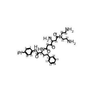 CC(C)c1ccc(NC(=O)C(CCc2ccccc2)NC(=O)CC(=O)[C@@H](N)CC(=O)N(CCN)CCN)cc1